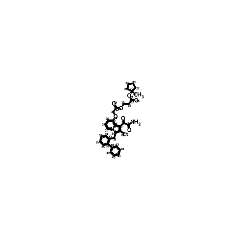 CCc1c(C(=O)C(N)=O)c2c(OCC(=O)OCCC(=O)OC3(C)CCCC3)cccn2c1Cc1ccccc1-c1ccccc1